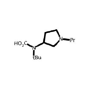 CC(C)N1CCC(N(C(=O)O)C(C)(C)C)C1